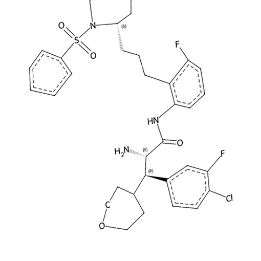 N[C@H](C(=O)Nc1cccc(F)c1CCC[C@H]1CNCCN1S(=O)(=O)c1ccccc1)[C@@H](c1ccc(Cl)c(F)c1)C1CCOCC1